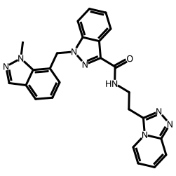 Cn1ncc2cccc(Cn3nc(C(=O)NCCc4nnc5ccccn45)c4ccccc43)c21